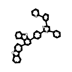 c1ccc(-c2cc(-c3cccc(-c4ccccn4)c3)nc(-c3ccc(-c4ccc(-c5ccc6oc7ccccc7c6c5)c5c4oc4ccccc45)cc3)n2)cc1